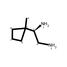 CC1([C@@H](N)CN)CCC1